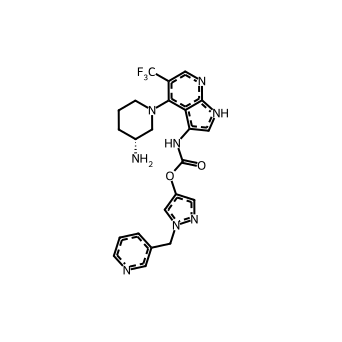 N[C@@H]1CCCN(c2c(C(F)(F)F)cnc3[nH]cc(NC(=O)Oc4cnn(Cc5cccnc5)c4)c23)C1